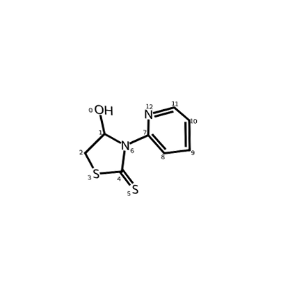 OC1CSC(=S)N1c1ccccn1